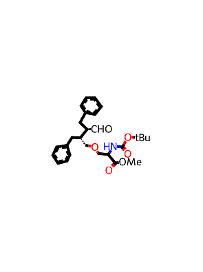 COC(=O)C(COC[C@H](Cc1ccccc1)[C@H](C=O)Cc1ccccc1)NC(=O)OC(C)(C)C